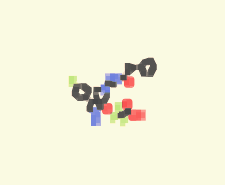 O=C(NCCN1CCC2(CC1)C(=O)NC[C@@H]2c1ccc(F)cc1)[C@@H]1C[C@H]1c1ccccc1.O=C(O)C(F)(F)F